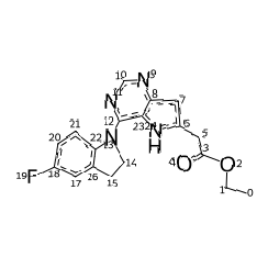 CCOC(=O)Cc1cc2ncnc(N3CCc4cc(F)ccc43)c2[nH]1